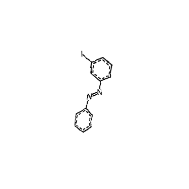 Ic1cccc(N=Nc2ccccc2)c1